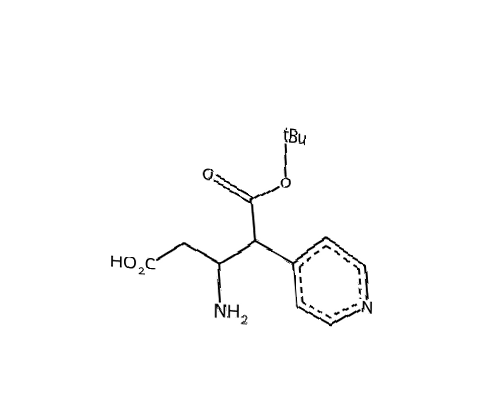 CC(C)(C)OC(=O)C(c1ccncc1)C(N)CC(=O)O